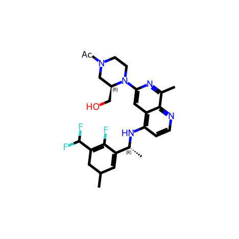 CC(=O)N1CCN(c2cc3c(N[C@H](C)C4=CC(C)CC(C(F)F)=C4F)ccnc3c(C)n2)[C@@H](CO)C1